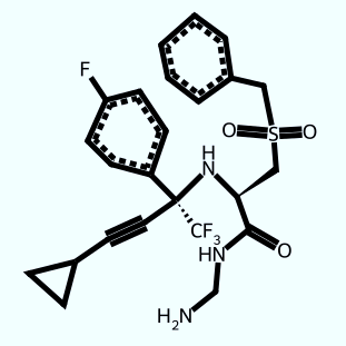 NCNC(=O)[C@H](CS(=O)(=O)Cc1ccccc1)N[C@@](C#CC1CC1)(c1ccc(F)cc1)C(F)(F)F